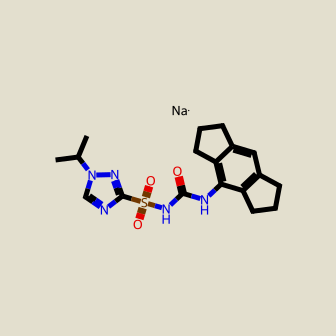 CC(C)n1cnc(S(=O)(=O)NC(=O)Nc2c3c(cc4c2CCC4)CCC3)n1.[Na]